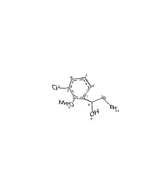 COc1c(Cl)cccc1C(O)CBr